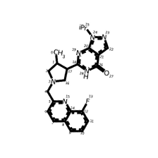 CC1CN(Cc2ccc3cccc(F)c3n2)CC1c1nc2c(cnn2C(C)C)c(=O)[nH]1